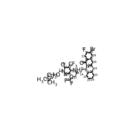 C[Si](C)(C)CCOCn1ncc(N[C@H](CCCn2c(Cc3ccccc3)cc3cc(Br)c(F)cc3c2=O)COC(F)F)c(C(F)(F)F)c1=O